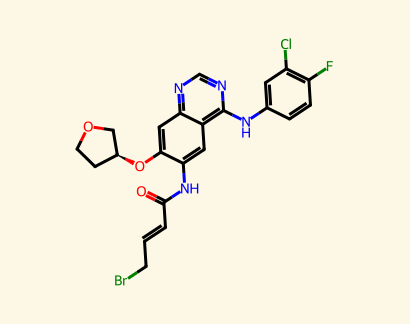 O=C(C=CCBr)Nc1cc2c(Nc3ccc(F)c(Cl)c3)ncnc2cc1O[C@H]1CCOC1